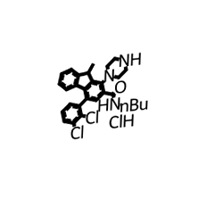 CCCCNC(=O)c1cc(-c2cccc(Cl)c2Cl)c2c(c1N1CCNCC1)C(C)c1ccccc1-2.Cl